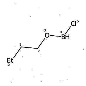 CCCCOBCl